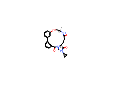 C[C@H]1COc2cccc(c2)-c2cccc(c2)C(=O)N(C)[C@H](C(=O)NC2CC2)CCC(=O)N1